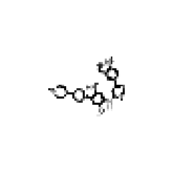 CNc1ccc(-c2cc(Nc3cc(NC)c(N4CCC(C5CCN(C)CC5)CC4)cc3OC)ncn2)cc1C=N